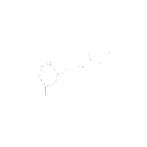 Cc1cc(C)cc(C)c1.OCC(O)CO